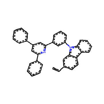 C=Cc1ccc2c3ccccc3n(-c3cccc(-c4cc(-c5ccccc5)cc(-c5ccccc5)n4)c3)c2c1